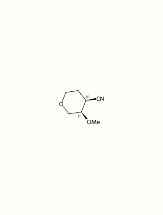 CO[C@H]1COCC[C@H]1C#N